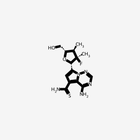 C[C@@H]1[C@@H](CO)O[C@@H](c2cc(C(N)=S)c3c(N)ncnn23)[C@]1(C)F